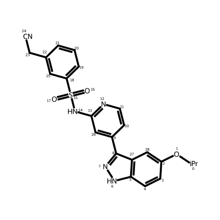 CC(C)Oc1ccc2[nH]nc(-c3ccnc(NS(=O)(=O)c4cccc(CC#N)c4)c3)c2c1